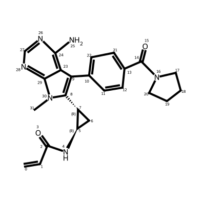 C=CC(=O)N[C@@H]1C[C@H]1c1c(-c2ccc(C(=O)N3CCCC3)cc2)c2c(N)ncnc2n1C